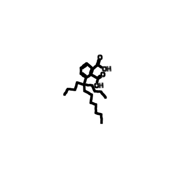 CCCCCCCC(CCCC)(CCCC)c1cccc(C(=O)O)c1C(=O)O